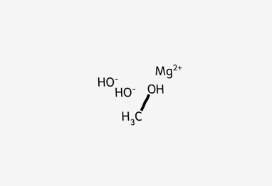 CO.[Mg+2].[OH-].[OH-]